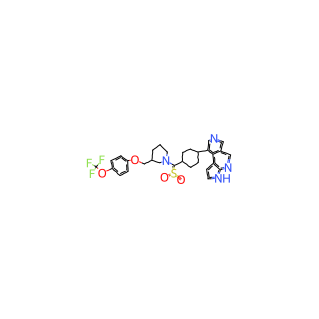 O=S(=O)=C(C1CCC(c2cncc3cnc4[nH]ccc4c23)CC1)N1CCCC(COc2ccc(OC(F)(F)F)cc2)C1